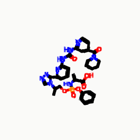 CC(NP(=O)(OCC(C)n1cnnc1-c1cccc(NC(=O)Nc2cc(C(=O)N3CCCCC3)ccn2)n1)Oc1ccccc1)C(=O)O